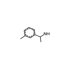 Cc1cccc(C(C)[NH])c1